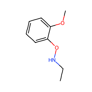 CCNOc1ccccc1OC